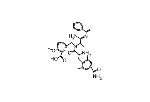 C=C(/N=C(\N)C(C)N(Cc1ccc(OC)c(C(=O)O)c1)C(=O)C(N)Cc1c(C)cc(C(N)=O)cc1C)c1ccccc1